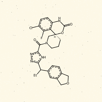 CCC(c1ccc2c(c1)COC2)c1nnc(C(=O)N2CCC[C@@]3(C2)OC(=O)Nc2ccc(Cl)c(F)c23)[nH]1